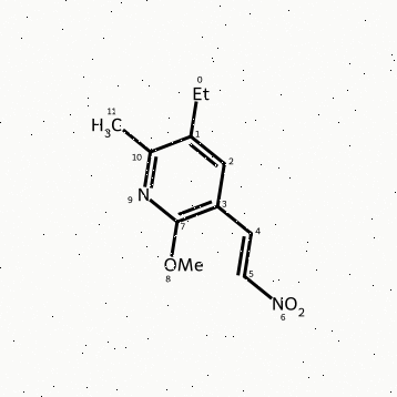 CCc1cc(/C=C/[N+](=O)[O-])c(OC)nc1C